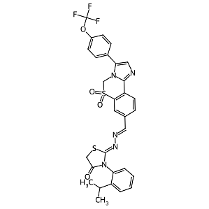 CC(C)c1ccccc1N1C(=O)CSC1=NN=Cc1ccc2c(c1)S(=O)(=O)Cn1c(-c3ccc(OC(F)(F)F)cc3)cnc1-2